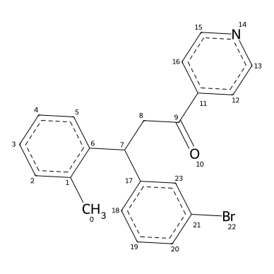 Cc1ccccc1C(CC(=O)c1ccncc1)c1cccc(Br)c1